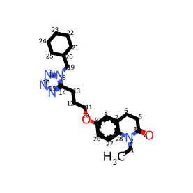 CCN1C(=O)CCc2cc(OCCCc3nnnn3CC3CCCCC3)ccc21